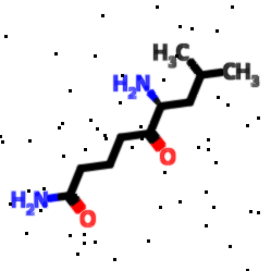 CC(C)C[C@H](N)C(=O)CCCC(N)=O